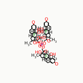 C[C@@H]1C[C@H]2[C@@H]3CCC4=CC(=O)C=C[C@]4(C)[C@@]3(F)[C@@H](O)C[C@]2(C)[C@@]1(O)C(=O)COP(=O)(OCC(=O)[C@@]1(O)[C@H](C)C[C@H]2[C@@H]3CCC4=CC(=O)C=C[C@]4(C)[C@@]3(F)[C@@H](O)C[C@@]21C)OCC(=O)[C@@]1(O)[C@H](C)C[C@H]2[C@@H]3CCC4=CC(=O)C=C[C@]4(C)[C@@]3(F)[C@@H](O)C[C@@]21C